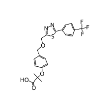 CC(C)(Oc1ccc(COCc2nnc(-c3ccc(C(F)(F)F)cc3)s2)cc1)C(=O)O